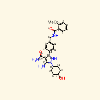 COc1ccccc1C(=O)NCc1ccc(C2NN(C3CCC(O)CC3)C(N)=C2C(N)=O)cc1